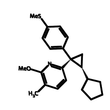 COc1nc([C@]2(c3ccc(SC)cc3)C[C@@H]2C2CCCC2)ccc1C